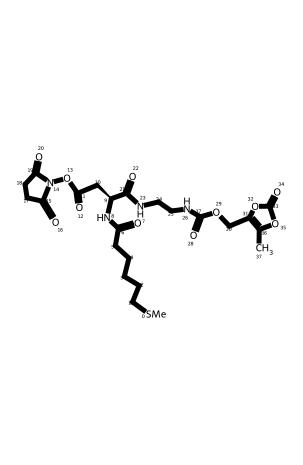 CSCCCCCC(=O)N[C@@H](CC(=O)ON1C(=O)CCC1=O)C(=O)NCCNC(=O)OCc1oc(=O)oc1C